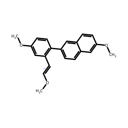 CO/C=C/c1cc(OC)ccc1-c1ccc2cc(OC)ccc2c1